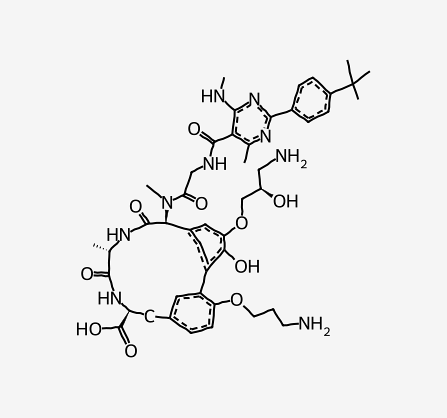 CNc1nc(-c2ccc(C(C)(C)C)cc2)nc(C)c1C(=O)NCC(=O)N(C)[C@@H]1C(=O)N[C@@H](C)C(=O)N[C@H](C(=O)O)Cc2ccc(OCCCN)c(c2)-c2cc1cc(OC[C@H](O)CN)c2O